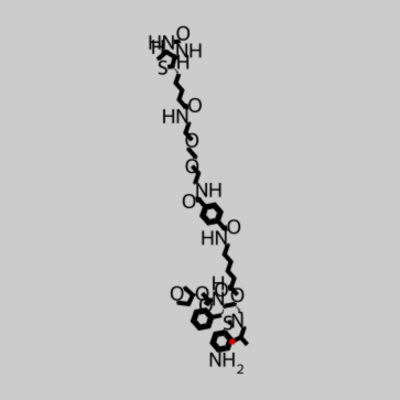 CC(C)CN(C[C@@H](OC(=O)CCCCCNC(=O)c1ccc(C(=O)NCCOCCOCCNC(=O)CCCC[C@@H]2SC[C@@H]3NC(=O)N[C@@H]32)cc1)[C@H](Cc1ccccc1)NC(=O)O[C@H]1CCOC1)Sc1ccc(N)cc1